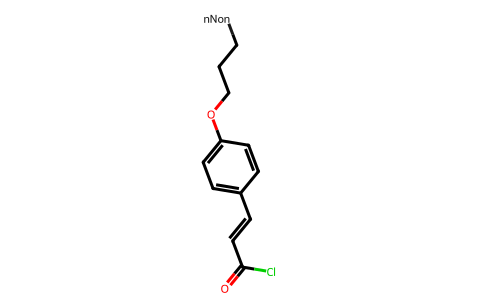 CCCCCCCCCCCCOc1ccc(/C=C/C(=O)Cl)cc1